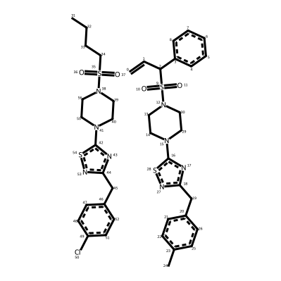 C=CC(c1ccccc1)S(=O)(=O)N1CCN(c2nc(Cc3ccc(C)cc3)ns2)CC1.CCCCS(=O)(=O)N1CCN(c2nc(Cc3ccc(Cl)cc3)ns2)CC1